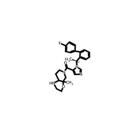 C[C@@H](c1ccccc1-c1ccc(F)cc1)n1cncc1C(=O)N1CCC2NCCOC2(C)C1